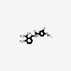 CC(N)C1C(CNC(=O)c2ccc(OC(F)(F)F)c(F)c2)=CC=CC1N